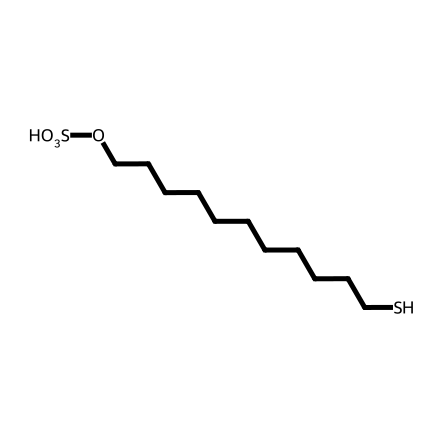 O=S(=O)(O)OCCCCCCCCCCCS